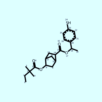 CCC(C)(C)C(=O)OC1CC2CC1CC2C(=O)OC(C)c1ccc(S)cc1